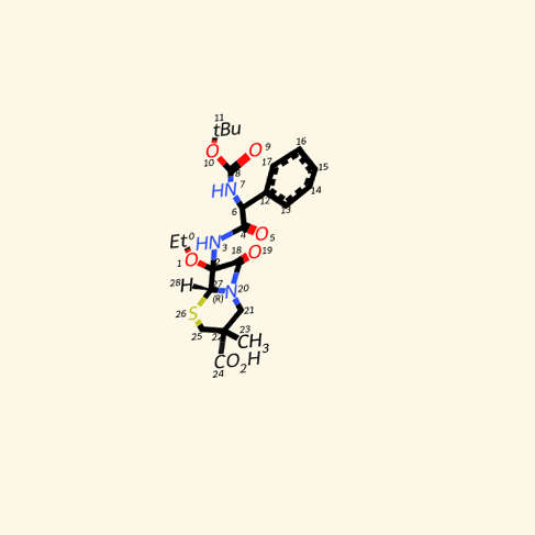 CCOC1(NC(=O)C(NC(=O)OC(C)(C)C)c2ccccc2)C(=O)N2CC(C)(C(=O)O)CS[C@@H]21